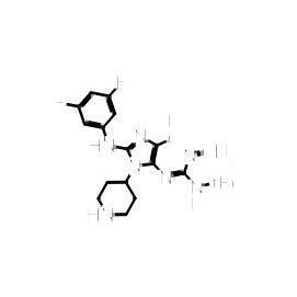 C=N/C(=N\c1c(C)nc(Nc2cc(F)cc(F)c2)n1C1CCNCC1)NC(C)(C)C